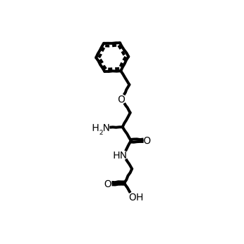 NC(COCc1ccccc1)C(=O)NCC(=O)O